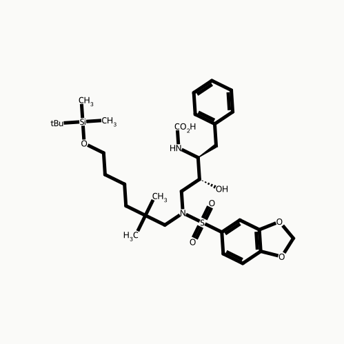 CC(C)(CCCCO[Si](C)(C)C(C)(C)C)CN(C[C@@H](O)[C@H](Cc1ccccc1)NC(=O)O)S(=O)(=O)c1ccc2c(c1)OCO2